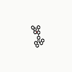 c1ccc(-n2c3ccccc3c3ccccc32)c(-c2ccc(-c3ccc(N(c4cccc5ccccc45)c4cccc5ccccc45)cc3)cc2)c1